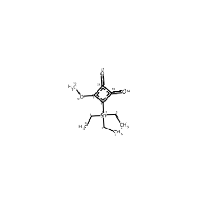 C[CH2][Sn]([CH2]C)([CH2]C)[c]1c(OC)c(=O)c1=O